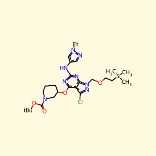 CCn1cc(Nc2nc(O[C@@H]3CCCN(C(=O)OC(C)(C)C)C3)c3c(Cl)nn(COCC[Si](C)(C)C)c3n2)cn1